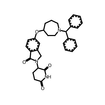 O=C1CCC(N2Cc3cc(OC4CCCN(C(c5ccccc5)c5ccccc5)CC4)ccc3C2=O)C(=O)N1